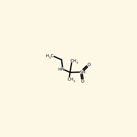 CCNC(C)(C)[SH](=O)=O